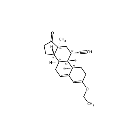 C#C[C@H]1C[C@]2(C)C(=O)CC[C@H]2[C@@H]2CC=C3C=C(OCC)CC[C@@H]3[C@H]21